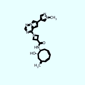 C=C1/C=C\C=C/C[C@@H](NC(=O)C2CN(c3ncnn4cc(-c5cnn(C)c5)cc34)C2)[C@@H](O)C1